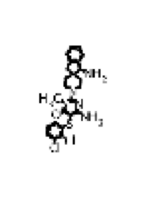 Cn1c(N2CCC3(CC2)Cc2ccccc2C3N)nc(N)c(Sc2cccc(Cl)c2Cl)c1=O